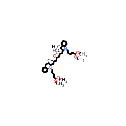 COC(/C=C/CCN1/C(=C/C=C/C(=O)/C=C/C=C2/N(CC/C=C/C(OC)OC)c3ccccc3C2(C)C)C(C)Cc2ccccc21)OC